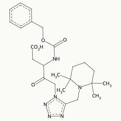 CC1(C)CCCC(C)(C)N1Cc1nnnn1CC(=O)C(CC(=O)O)NC(=O)OCc1ccccc1